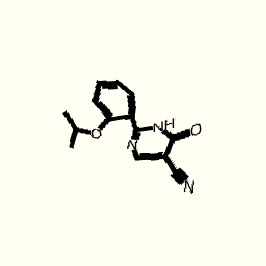 CC(C)Oc1ccccc1-c1ncc(C#N)c(=O)[nH]1